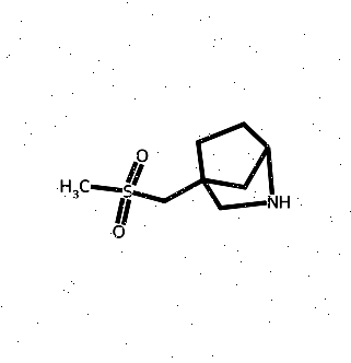 CS(=O)(=O)CC12CCC(C1)NC2